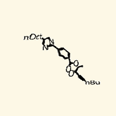 CCCCC#CC(=O)C(C)OC(=O)c1ccc(-c2ncc(CCCCCCCC)cn2)cc1